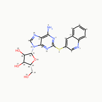 Nc1nc(Sc2cnc3ccccc3c2)nc2c1ncn2[C@@H]1O[C@H](CO)C(O)C1O